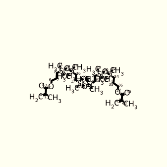 C=C(C)C(=O)OCCC[Si](C)(C)O[Si](C)(C)CC[Si](C)(C)O[Si](C)(C)CC[Si](C)(C)O[Si](C)(C)CCCOC(=O)C(=C)C